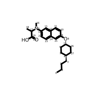 CCCC[C@H]1CC[C@H](Oc2ccc3cc(N(C)C(C)C(=O)O)ccc3c2)CC1